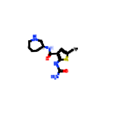 CC(C)c1cc(C(=O)N[C@H]2CCCCNC2)c(NC(N)=O)s1